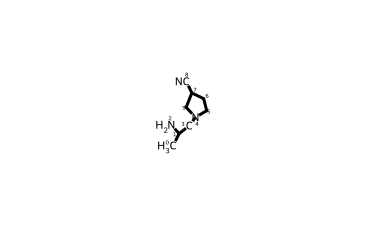 CC(N)CN1CCC(C#N)C1